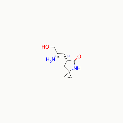 N[C@@H](/C=C1\CC2(CC2)NC1=O)CO